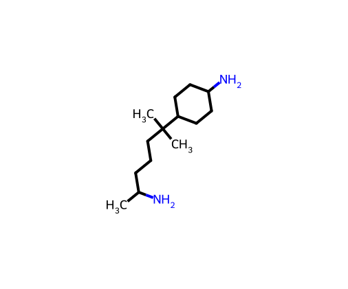 CC(N)CCCC(C)(C)C1CCC(N)CC1